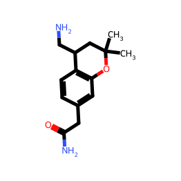 CC1(C)CC(CN)c2ccc(CC(N)=O)cc2O1